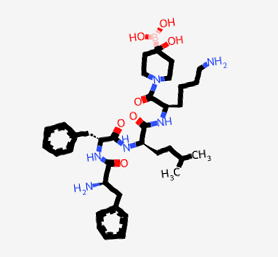 CC(C)CC[C@@H](NC(=O)[C@@H](Cc1ccccc1)NC(=O)[C@H](N)Cc1ccccc1)C(=O)N[C@H](CCCCN)C(=O)N1CCC(O)(B(O)O)CC1